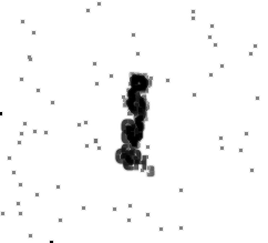 CS(=O)(=O)OCC1CN(CCCN2CCN(Cc3ccccc3)CC2)C(=O)O1